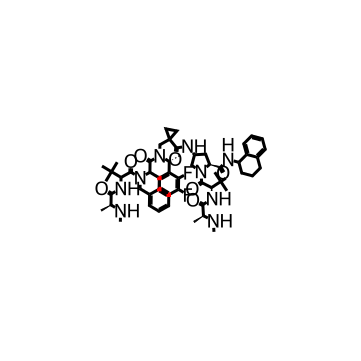 CN[C@@H](C)C(=O)NC(C(=O)N1Cc2ccccc2CC1C(=O)N(CC1(C(=O)NC2C[C@@H](C(=O)NC3CCCc4ccccc43)N(C(=O)[C@@H](NC(=O)[C@H](C)NC)C(C)(C)C)C2)CC1)[C@H](C)c1cccc(F)c1F)C(C)(C)C